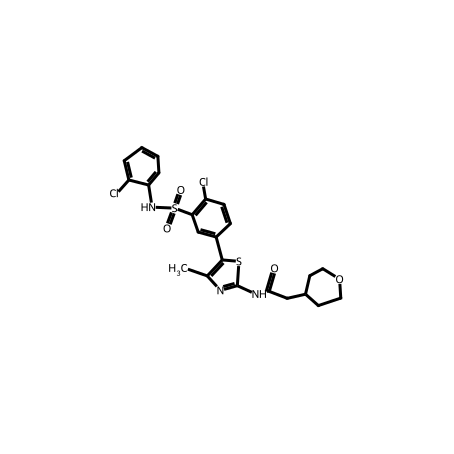 Cc1nc(NC(=O)CC2CCOCC2)sc1-c1ccc(Cl)c(S(=O)(=O)Nc2ccccc2Cl)c1